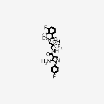 CCN(CC(O)(CNC(=O)C1C=NN(c2ccc(F)cc2)C1N)C(F)(F)F)C(=O)c1cccc(F)c1Cl